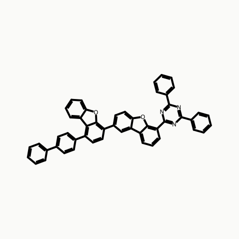 c1ccc(-c2ccc(-c3ccc(-c4ccc5oc6c(-c7nc(-c8ccccc8)nc(-c8ccccc8)n7)cccc6c5c4)c4oc5ccccc5c34)cc2)cc1